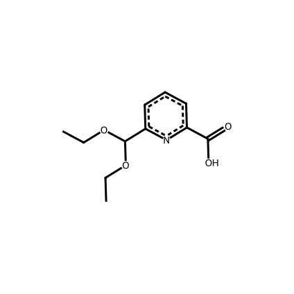 CCOC(OCC)c1cccc(C(=O)O)n1